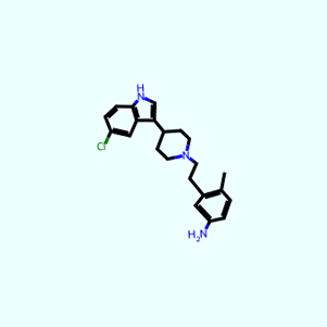 Cc1ccc(N)cc1CCN1CCC(c2c[nH]c3ccc(Cl)cc23)CC1